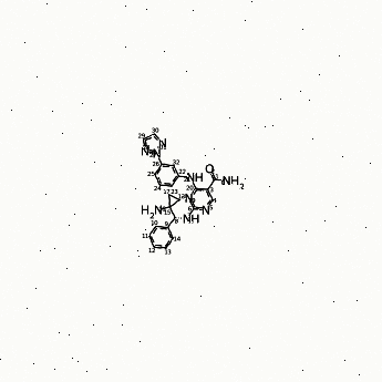 NC(=O)c1cnc(N[C@H](c2ccccc2)C2(N)CC2)nc1Nc1cccc(-n2nccn2)c1